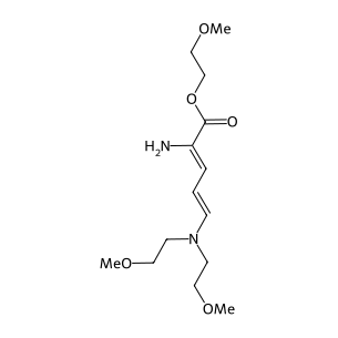 COCCOC(=O)/C(N)=C/C=C/N(CCOC)CCOC